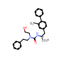 O=C(O)[C@H](Cc1ccc(-c2ccccc2)c([N+](=O)[O-])c1)NC(=O)N(CCO)CCc1ccccc1